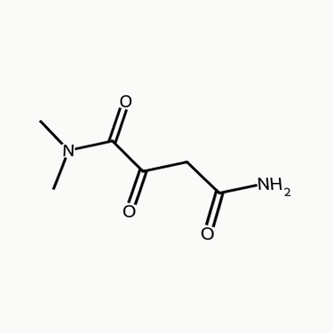 CN(C)C(=O)C(=O)CC(N)=O